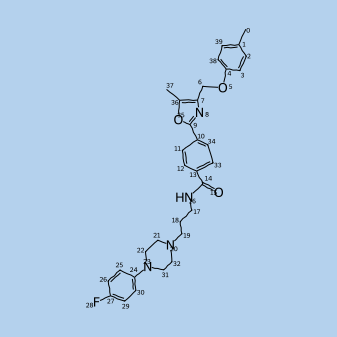 Cc1ccc(OCc2nc(-c3ccc(C(=O)NCCCN4CCN(c5ccc(F)cc5)CC4)cc3)oc2C)cc1